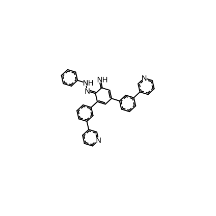 N=C1C=C(c2cccc(-c3cccnc3)c2)C=C(c2cccc(-c3cccnc3)c2)/C1=N/Nc1ccccc1